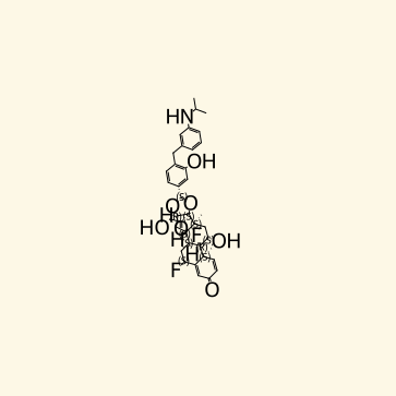 CC(C)Nc1cccc(Cc2ccc([C@H]3O[C@@H]4C[C@H]5[C@@H]6C[C@H](F)C7=CC(=O)C=C[C@]7(C)[C@@]6(F)[C@@H](O)C[C@]5(C)[C@]4(C(=O)CO)O3)cc2O)c1